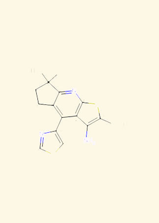 CC1(C)CCc2c1nc1sc(C(=O)O)c(N)c1c2-c1cscn1